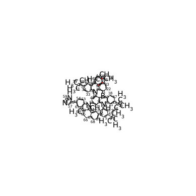 CC(C)(C)c1cccc(N2c3cc(C(C)(C)C)ccc3B3c4ccc(C(C)(C)C)cc4N(c4ccc(C(C)(C)C)cc4-c4ccccc4)c4cc(N5c6ccc(-c7cnc[nH]7)cc6C6(C)CCc7ccccc7C56C)cc2c43)c1